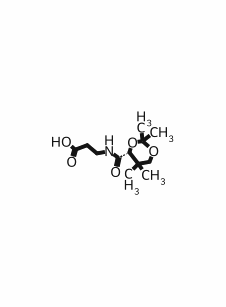 CC1(C)OCC(C)(C)[C@H](C(=O)NCCC(=O)O)O1